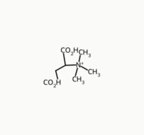 C[N+](C)(C)C(CC(=O)O)C(=O)O